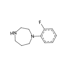 Fc1ccccc1N1CCCNCC1